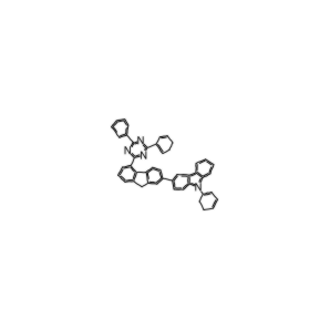 C1=CCCC(n2c3ccccc3c3cc(-c4ccc5c(c4)Cc4cccc(-c6nc(C7=CCCC=C7)nc(-c7ccccc7)n6)c4-5)ccc32)=C1